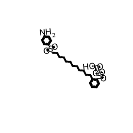 Nc1ccc(S(=O)(=O)CCCCCCCCCCCCc2ccccc2S(=O)(=O)[O][Ti](=[O])[OH])cc1